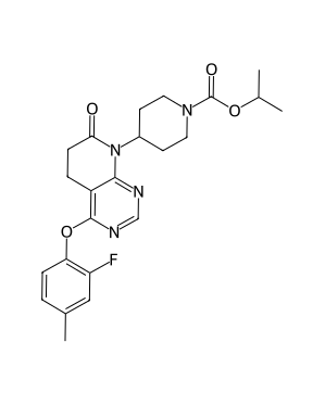 Cc1ccc(Oc2ncnc3c2CCC(=O)N3C2CCN(C(=O)OC(C)C)CC2)c(F)c1